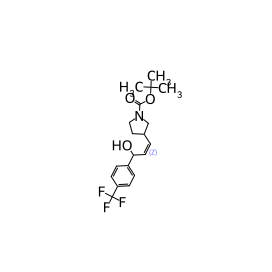 CC(C)(C)OC(=O)N1CCC(/C=C\C(O)c2ccc(C(F)(F)F)cc2)C1